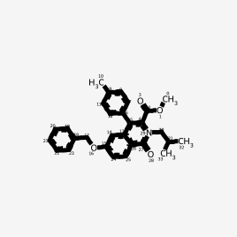 COC(=O)c1c(-c2ccc(C)cc2)c2cc(OCc3ccccc3)ccc2c(=O)n1CC(C)C